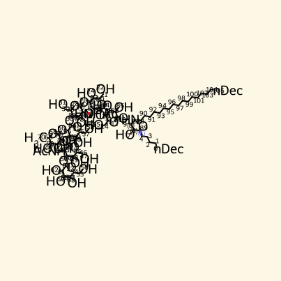 CCCCCCCCCCCCC/C=C/[C@@H](O)[C@H](CO[C@@H]1OC(CO)[C@@H](O[C@@H]2OC(CO)[C@H](O)[C@H](O[C@@H]3OC(CO)[C@@H](O[C@@H]4OC(CO)[C@H](O)[C@H](O[C@H]5OC(CO)[C@H](O)[C@H](O[C@@H]6OC(CO)[C@H](O)[C@H](O)C6O)C5NC(C)=O)C4O[C@H]4OC(C)[C@@H](O)C(O)[C@@H]4O)[C@H](O)C3NC(C)=O)C2O)[C@H](O)C1O)NC(=O)CCCCCCCCCCCCCCCCCCCCCCCCC